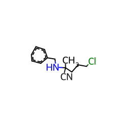 CC(C#N)(CCCCl)NCc1ccccc1